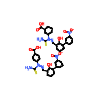 NC(=S)N(N=Cc1cccc(-c2cccc([N+](=O)[O-])c2)c1O)c1ccc(C(=O)O)cc1.NC(=S)N(N=Cc1cccc(-c2cccc([N+](=O)[O-])c2)c1O)c1cccc(C(=O)O)c1